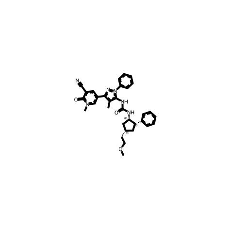 COCC[C@@H]1C[C@@H](NC(=O)Nc2c(C)c(-c3cc(C#N)c(=O)n(C)c3)nn2-c2ccccc2)[C@H](c2ccccc2)C1